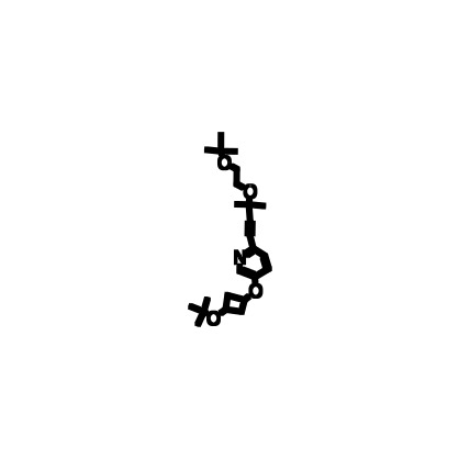 CC(C)(C)OCCOC(C)(C)C#Cc1ccc(OC2CC(OC(C)(C)C)C2)cn1